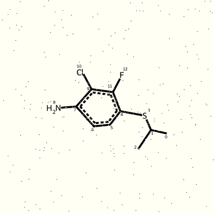 CC(C)Sc1ccc(N)c(Cl)c1F